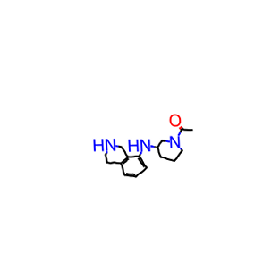 CC(=O)N1CCC[C@@H](Nc2cccc3c2CNCC3)C1